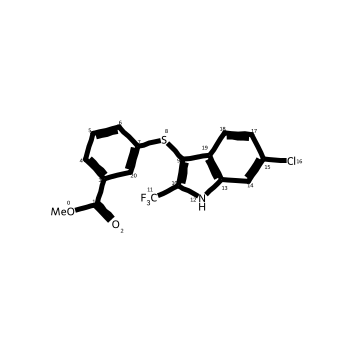 COC(=O)c1cccc(Sc2c(C(F)(F)F)[nH]c3cc(Cl)ccc23)c1